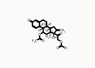 C=C1C[C@H]2[C@@H]3CCC4=CC(=O)C=C[C@]4(C)[C@H]3C(OC(=O)C(F)(F)F)C[C@]2(C)[C@@]1(O)C(=O)COC(=O)CC